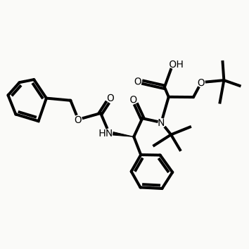 CC(C)(C)OCC(C(=O)O)N(C(=O)[C@H](NC(=O)OCc1ccccc1)c1ccccc1)C(C)(C)C